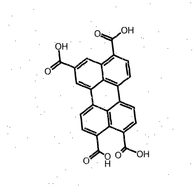 O=C(O)c1cc2c(C(=O)O)ccc3c4ccc(C(=O)O)c5c(C(=O)O)ccc(c(c1)c23)c54